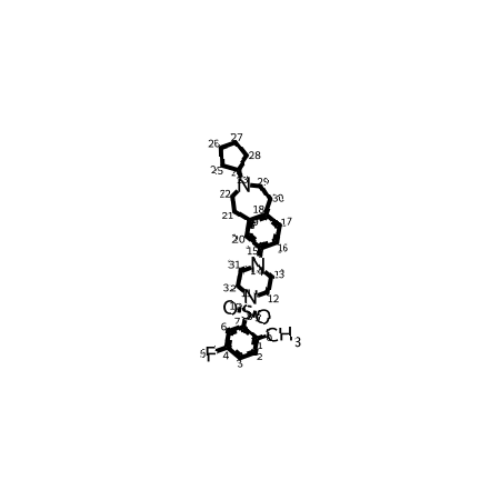 Cc1ccc(F)cc1S(=O)(=O)N1CCN(c2ccc3c(c2)CCN(C2CCCC2)CC3)CC1